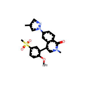 CCCOc1ccc(S(C)(=O)=O)cc1-c1cn(C)c(=O)c2ccc(-n3cc(C)cn3)cc12